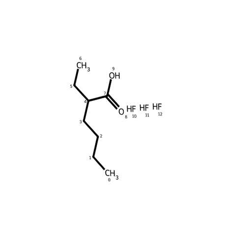 CCCCC(CC)C(=O)O.F.F.F